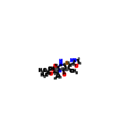 Cc1c(C2NC=CO2)sc2[nH]c(=O)n(C3(C(=O)OC(C)(C)C)CC3)c(=O)c12